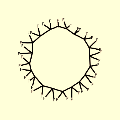 F[C]1C(F)(F)C(F)(F)C(F)(F)C(F)(F)C(F)(F)C(F)(F)C(F)(F)C(F)(F)C(F)(F)C(F)(F)C(F)(F)C(F)(F)C(F)(F)C(F)(F)C(F)(F)C(F)(F)C(F)(F)C(F)(F)C1(F)F